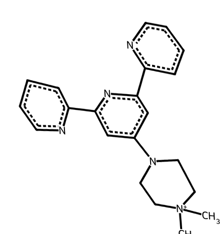 C[N+]1(C)CCN(c2cc(-c3ccccn3)nc(-c3ccccn3)c2)CC1